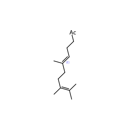 CC(=O)CC/C=C(\C)CCC(C)=C(C)C